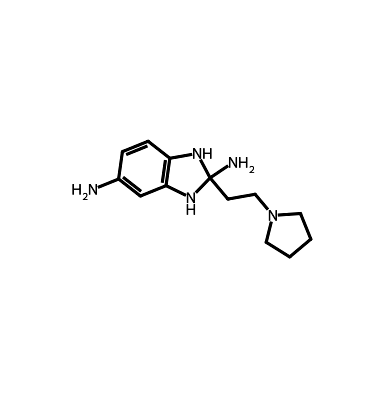 Nc1ccc2c(c1)NC(N)(CCN1CCCC1)N2